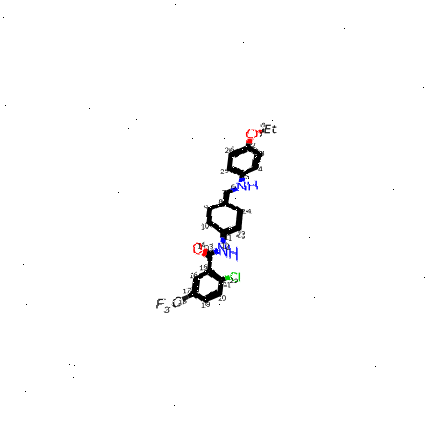 CCOc1ccc(NCC2CCC(NC(=O)c3cc(C(F)(F)F)ccc3Cl)CC2)cc1